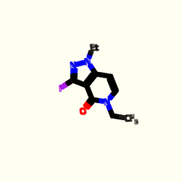 CCn1nc(I)c2c(=O)n(CC(F)(F)F)ccc21